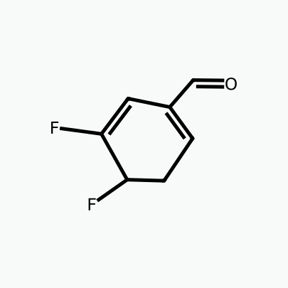 O=CC1=CCC(F)C(F)=C1